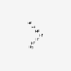 F.F.F.F.F.F.[Hg]